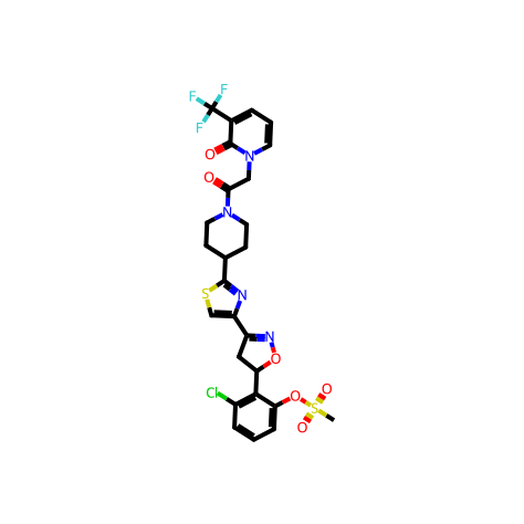 CS(=O)(=O)Oc1cccc(Cl)c1C1CC(c2csc(C3CCN(C(=O)Cn4cccc(C(F)(F)F)c4=O)CC3)n2)=NO1